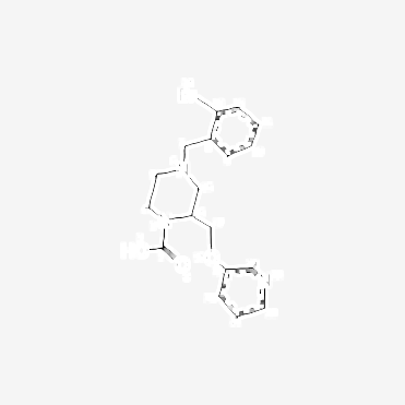 O=C(O)N1CCN(Cc2ccccc2Br)CC1COc1cccnc1